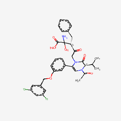 CC(=O)N1C=C(c2cccc(OCc3cc(Cl)cc(Cl)c3)c2)N(CC(=O)[C@@H](Cc2ccccc2)C(N)(O)C(=O)O)C(=O)[C@H]1C(C)C